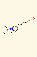 CC[C@@]1(N)CCC[C@H]1Cc1ccc(CCCCCCOC)cc1